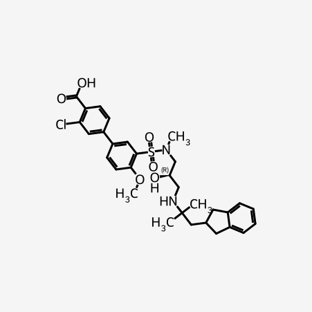 COc1ccc(-c2ccc(C(=O)O)c(Cl)c2)cc1S(=O)(=O)N(C)C[C@H](O)CNC(C)(C)CC1Cc2ccccc2C1